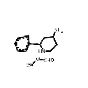 CC(C)(C)OC=O.NC1CCNC(c2ccccc2)C1